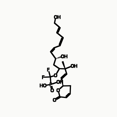 C[C@@](O)(/C=C/[C@H]1CC=CC(=O)O1)C(C[C@@H](O)\C=C/C=C\C=C\CO)OC(F)(F)P(=O)(O)O